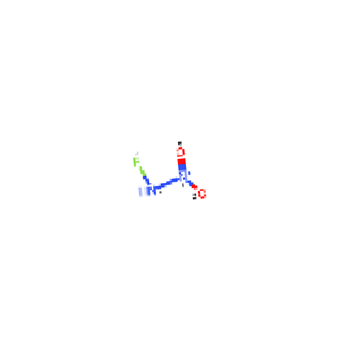 O=[N+]([O-])NF